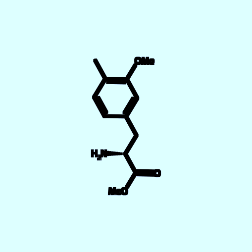 COC(=O)[C@H](N)Cc1ccc(C)c(OC)c1